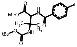 COC(=O)C(NC(=O)c1ccc(I)cc1)C(C)(C)NC(=O)OC(C)(C)C